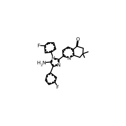 CC1(C)CC(=O)c2ccc(-c3nc(-c4cccc(F)c4)c(N)n3-c3cccc(F)c3)nc2C1